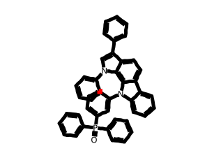 O=P(c1ccccc1)(c1ccccc1)c1cccc(-n2c3ccccc3c3ccc4c(-c5ccccc5)cn(-c5ccccc5)c4c32)c1